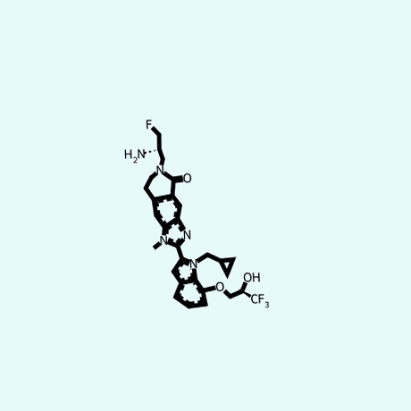 Cn1c(-c2cc3cccc(OC[C@@H](O)C(F)(F)F)c3n2CC2CC2)nc2cc3c(cc21)CCN(C[C@H](N)CF)C3=O